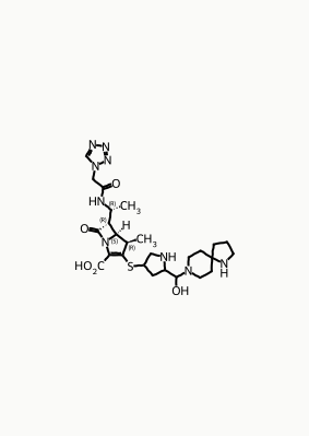 C[C@@H](NC(=O)Cn1cnnn1)[C@H]1C(=O)N2C(C(=O)O)=C(SC3CNC(C(O)N4CCC5(CCCN5)CC4)C3)[C@H](C)[C@H]12